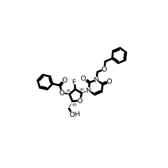 O=C(O[C@H]1C(F)[C@H](n2ccc(=O)n(COCc3ccccc3)c2=O)O[C@@H]1CO)c1ccccc1